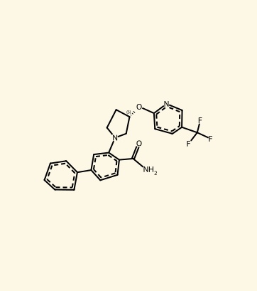 NC(=O)c1ccc(-c2ccccc2)cc1N1CC[C@H](Oc2ccc(C(F)(F)F)cn2)C1